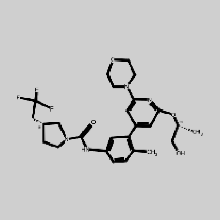 Cc1ccc(NC(=O)N2CC[C@H](CC(F)(F)F)C2)cc1-c1cc(O[C@H](C)CO)nc(N2CCOCC2)c1